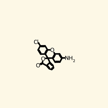 Nc1ccc2c(c1)Oc1cc(Cl)ccc1C21OC(=O)c2ccccc21